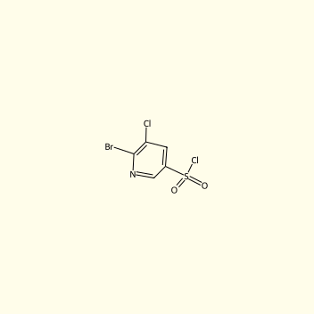 O=S(=O)(Cl)c1cnc(Br)c(Cl)c1